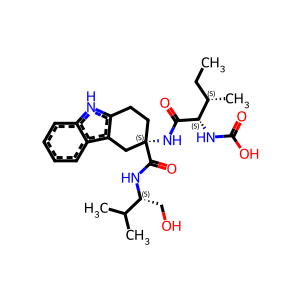 CC[C@H](C)[C@H](NC(=O)O)C(=O)N[C@@]1(C(=O)N[C@H](CO)C(C)C)CCc2[nH]c3ccccc3c2C1